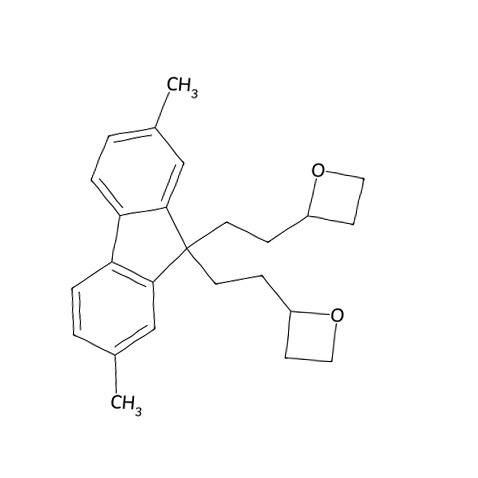 Cc1ccc2c(c1)C(CCC1CCO1)(CCC1CCO1)c1cc(C)ccc1-2